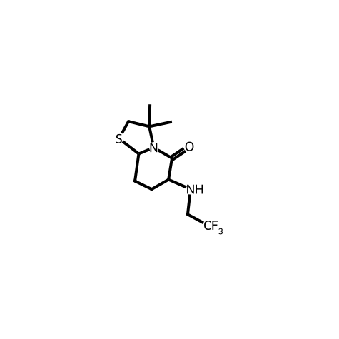 CC1(C)CSC2CCC(NCC(F)(F)F)C(=O)N21